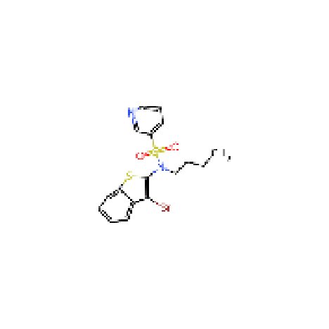 CCCCN(c1sc2ccccc2c1Br)S(=O)(=O)c1cccnc1